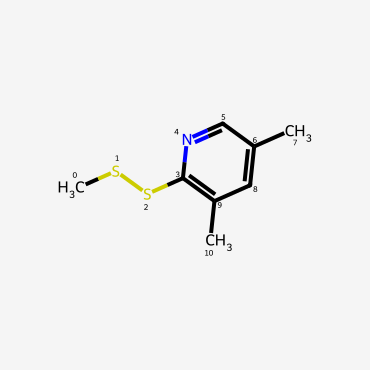 CSSc1ncc(C)cc1C